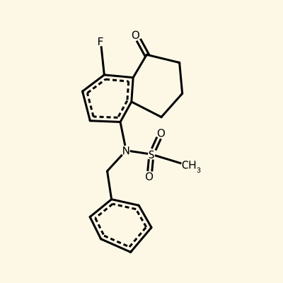 CS(=O)(=O)N(Cc1ccccc1)c1ccc(F)c2c1CCCC2=O